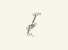 CCCCC(F)(F)[C@H]1CCC2C(CC(=O)[C@@H]2CCCCCCC(=O)O)O1